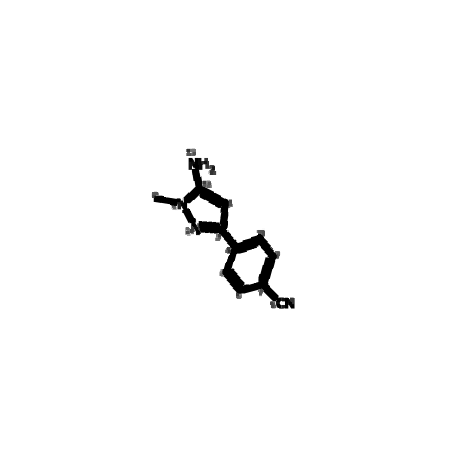 Cn1nc(-c2ccc(C#N)cc2)cc1N